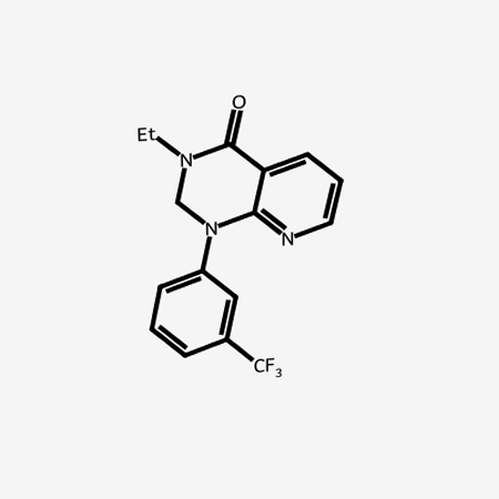 CCN1CN(c2cccc(C(F)(F)F)c2)c2ncccc2C1=O